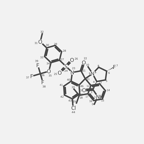 CNC(=O)[C@@H]1C[C@@H](F)C[N+]1(C)C1(c2ccccc2C(C)C)C(=O)N(S(=O)(=O)c2ccc(OC)cc2OC(F)(F)F)c2ccc(Cl)cc21